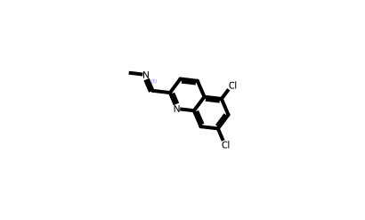 C/N=C/c1ccc2c(Cl)cc(Cl)cc2n1